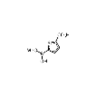 COB(O)c1ccc(C(=O)O)s1